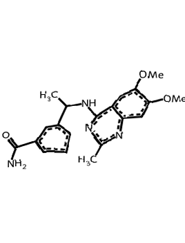 COc1cc2nc(C)nc(NC(C)c3cccc(C(N)=O)c3)c2cc1OC